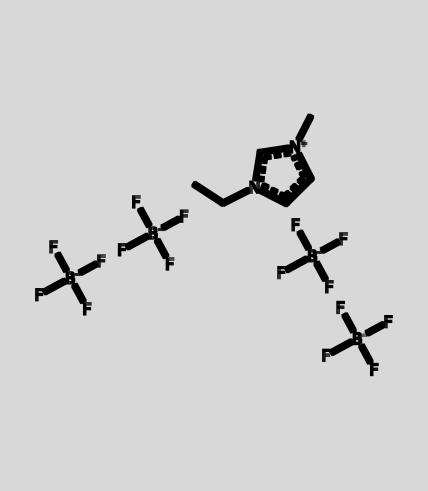 CCn1cc[n+](C)c1.F[B-](F)(F)F.F[B-](F)(F)F.F[B-](F)(F)F.F[B-](F)(F)F